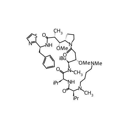 CC[C@H](C)[C@@H]([C@H](CC(=O)N1CCC[C@H]1[C@H](OC)[C@@H](C)C(=O)N[C@@H](Cc1ccccc1)c1nccs1)OC)N(C)C(=O)[C@@H](NC(=O)[C@H](C(C)C)N(C)CCCCNC)C(C)C